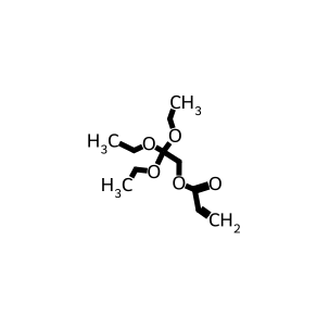 C=CC(=O)OCC(OCC)(OCC)OCC